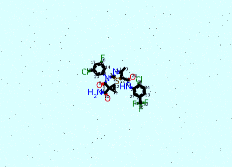 Cc1nc(N(C(=O)C2(C(N)=O)CC2)c2cc(F)cc(Cl)c2)sc1C(=O)Nc1cc(C(F)(F)F)ccc1Cl